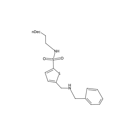 CCCCCCCCCCCCNS(=O)(=O)c1ccc(CNCc2ccccc2)s1